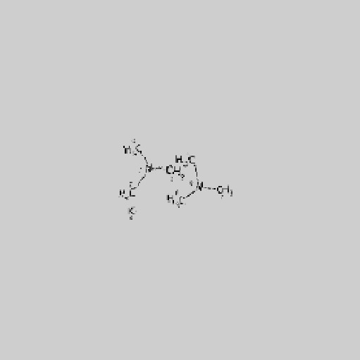 CN(C)C.CN(C)C.[K]